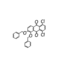 O=C1c2ccc(OCc3ccccc3)c(OCc3ccccc3)c2C(=O)c2c(Cl)ccc(Cl)c21